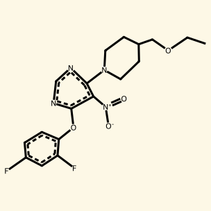 CCOCC1CCN(c2ncnc(Oc3ccc(F)cc3F)c2[N+](=O)[O-])CC1